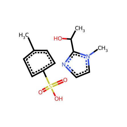 CC(O)c1nccn1C.Cc1ccc(S(=O)(=O)O)cc1